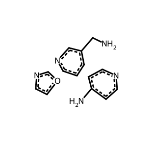 NCc1cccnc1.Nc1ccncc1.c1cocn1